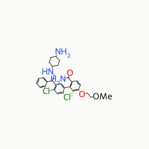 COCCOc1ccc(C(N)=O)c(-c2cc(C(CNC3CCC(N)CC3)c3ccccc3)c(Cl)cc2Cl)c1F